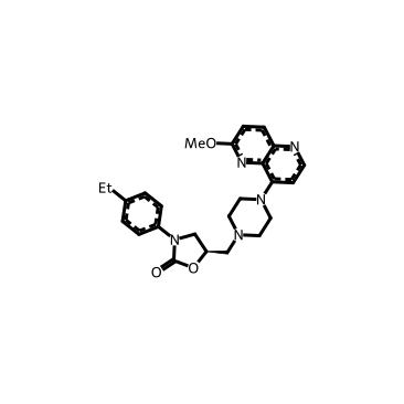 CCc1ccc(N2C[C@@H](CN3CCN(c4ccnc5ccc(OC)nc45)CC3)OC2=O)cc1